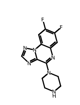 Fc1cc2nc(N3CCNCC3)c3ncnn3c2cc1F